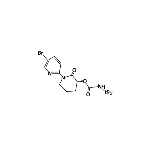 CC(C)(C)NC(=O)O[C@H]1CCCN(c2ccc(Br)cn2)C1=O